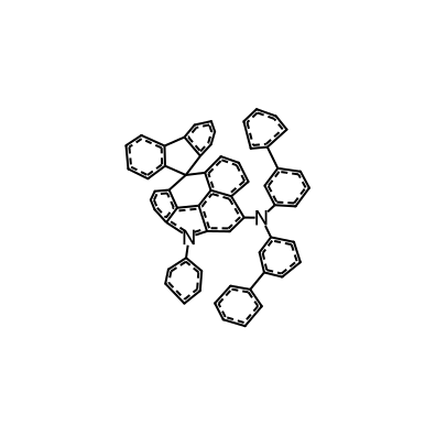 c1ccc(-c2cccc(N(c3cccc(-c4ccccc4)c3)c3cc4c5c6c(cccc36)C3(c6ccccc6-c6ccccc63)c3cccc(c35)n4-c3ccccc3)c2)cc1